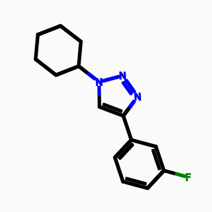 Fc1cccc(-c2cn(C3CCCCC3)nn2)c1